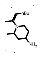 CCCC/C=C(/C)N1CCC(N)CC1C